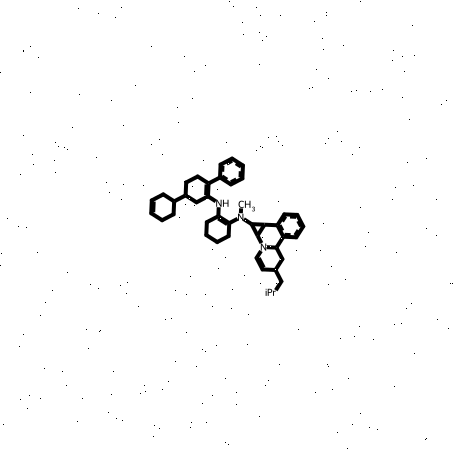 CC(C)CC1C=CN2C(C1)c1ccccc1C1C(N(C)C3=C(NC4=C(c5ccccc5)CCC(C5CC=CCC5)C4)CCCC3)C12